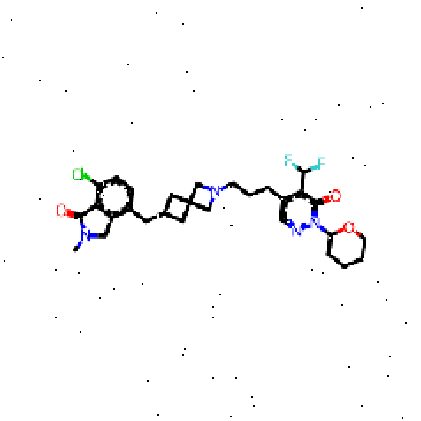 CN1Cc2c(CC3CC4(C3)CN(CCCc3cnn(C5CCCCO5)c(=O)c3C(F)F)C4)ccc(Cl)c2C1=O